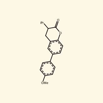 COc1ccc(-c2ccc3c(c2)CC(C(C)C)C(=O)O3)cc1